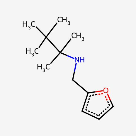 CC(C)(C)C(C)(C)NCc1ccco1